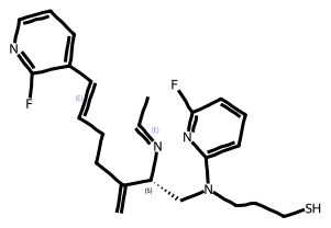 C=C(CC/C=C/c1cccnc1F)[C@@H](CN(CCCS)c1cccc(F)n1)/N=C/C